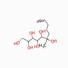 CCCCCCCCCCCCC(C)(O)C(O)C(O)C(O)C(O)CO